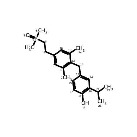 Cc1cc(CCP(C)(C)=O)cc(C)c1Cc1ccc(O)c(C(C)C)c1